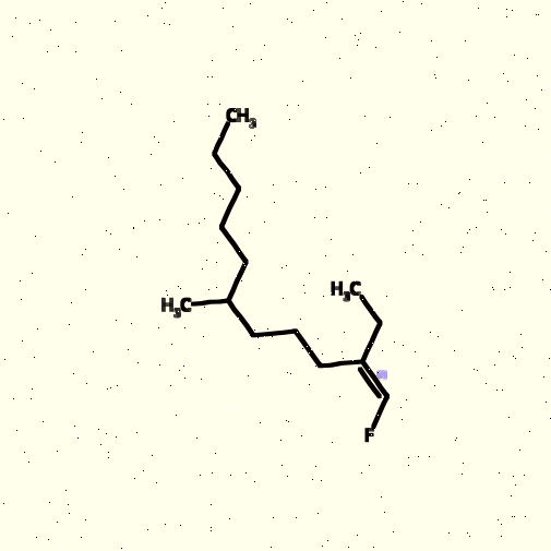 CCCCCC(C)CCC/C(=C\F)CC